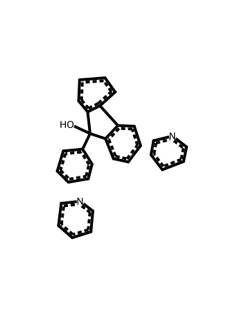 OC1(c2ccccc2)c2ccccc2-c2ccccc21.c1ccncc1.c1ccncc1